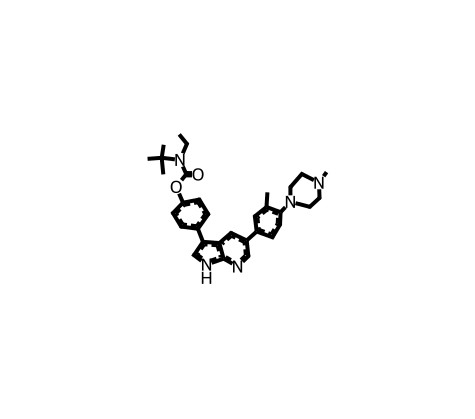 CCN(C(=O)Oc1ccc(-c2c[nH]c3ncc(-c4ccc(N5CCN(C)CC5)c(C)c4)cc23)cc1)C(C)(C)C